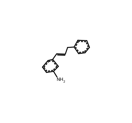 Nc1cccc(/C=C/Cc2ccccc2)c1